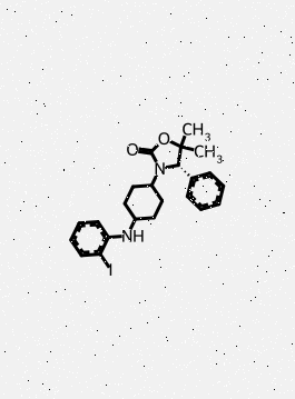 CC1(C)OC(=O)N(C2CCC(Nc3ccccc3I)CC2)[C@H]1c1ccccc1